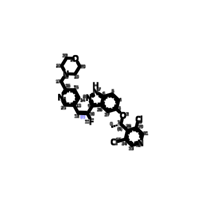 C[C@H](Oc1ccc2[nH]nc(/C(F)=C\c3ccc(CN4CCOCC4)nc3)c2c1)c1c(Cl)cncc1Cl